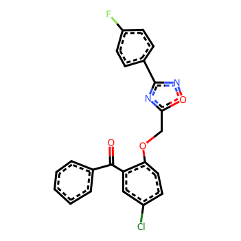 O=C(c1ccccc1)c1cc(Cl)ccc1OCc1nc(-c2ccc(F)cc2)no1